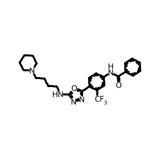 O=C(Nc1ccc(-c2nnc(NCCCCN3CCCCC3)o2)c(C(F)(F)F)c1)c1ccccc1